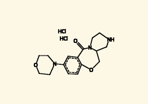 Cl.Cl.O=C1c2cc(N3CCOCC3)ccc2OCC2CNCCN12